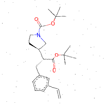 C=Cc1cccc(C[C@@H](C(=O)OC(C)(C)C)[C@H]2CCN(C(=O)OC(C)(C)C)C2)c1